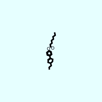 CCCCCCCC(=O)Oc1ccc(C2=CCC(CCC)CC2)cc1